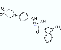 Cn1cc(C(=O)/C(C#N)=N/Nc2ccc(N3CCS(=O)(=O)CC3)cc2)c2ccccc21